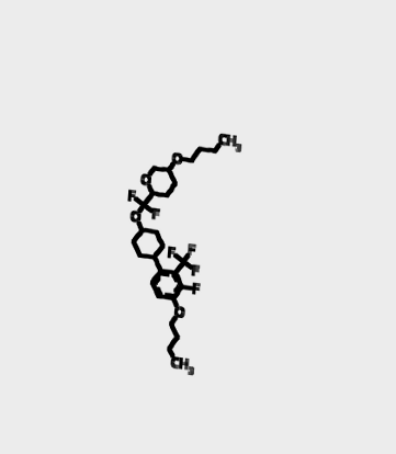 CCCCOc1ccc(C2CCC(OC(F)(F)C3CCC(OCCCC)CO3)CC2)c(C(F)(F)F)c1F